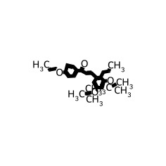 CCCOc1ccc(C(=O)C=Cc2cc(OC(C)(C)C)cc(OC(C)(C)C)c2CCC)cc1